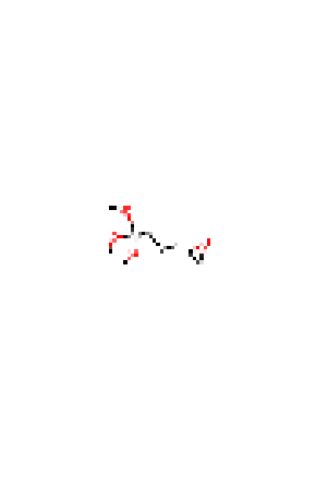 C1CO1.CCC[Si](OC)(OC)OC